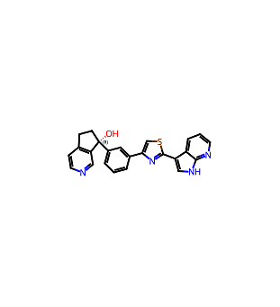 O[C@@]1(c2cccc(-c3csc(-c4c[nH]c5ncccc45)n3)c2)CCc2ccncc21